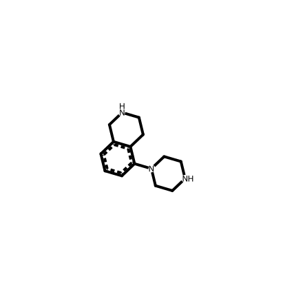 c1cc2c(c(N3CCNCC3)c1)CCNC2